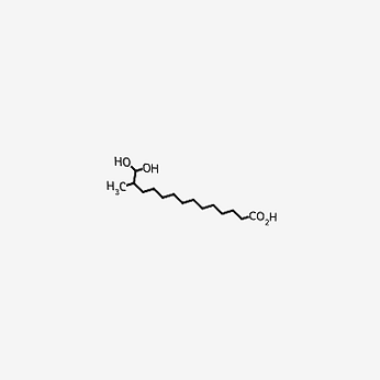 CC(CCCCCCCCCCCC(=O)O)C(O)O